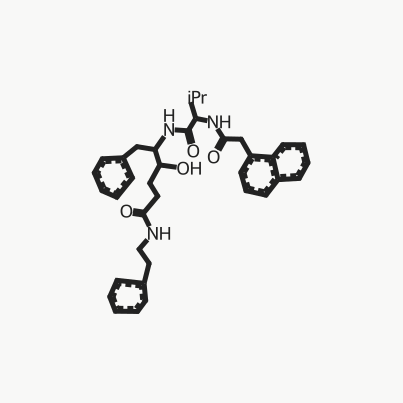 CC(C)C(NC(=O)Cc1cccc2ccccc12)C(=O)NC(Cc1ccccc1)C(O)CCC(=O)NCCc1ccccc1